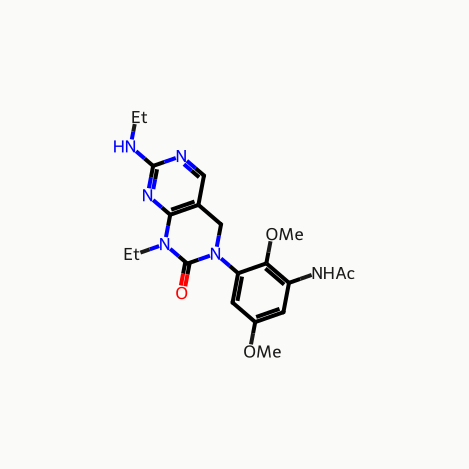 CCNc1ncc2c(n1)N(CC)C(=O)N(c1cc(OC)cc(NC(C)=O)c1OC)C2